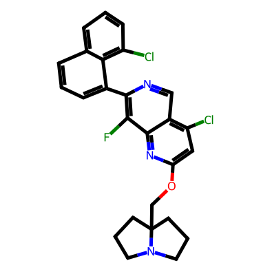 Fc1c(-c2cccc3cccc(Cl)c23)ncc2c(Cl)cc(OCC34CCCN3CCC4)nc12